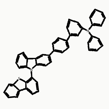 c1ccc(N(c2ccccc2)c2cccc(-c3ccc(-c4ccc5c(c4)c4ccccc4n5-c4cccc5c4sc4ccccc45)cc3)c2)cc1